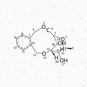 C[C@@H]1OC2COCc3ccccc3CO[C@@H](C1O)[C@@H]2O